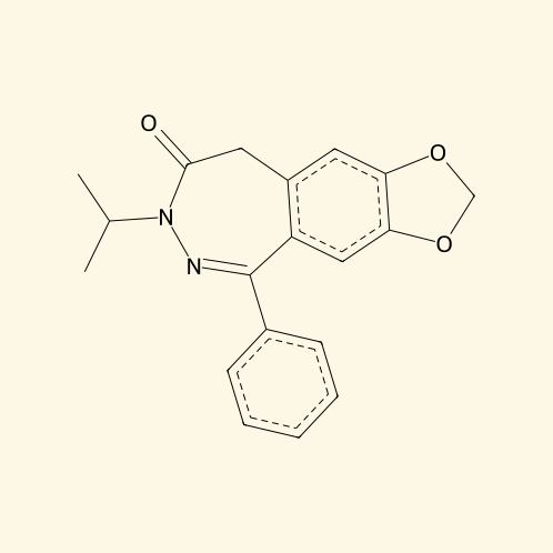 CC(C)N1N=C(c2ccccc2)c2cc3c(cc2CC1=O)OCO3